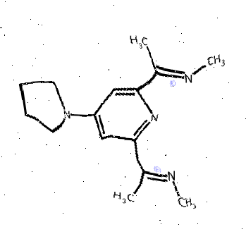 C/N=C(\C)c1cc(N2CCCC2)cc(/C(C)=N/C)n1